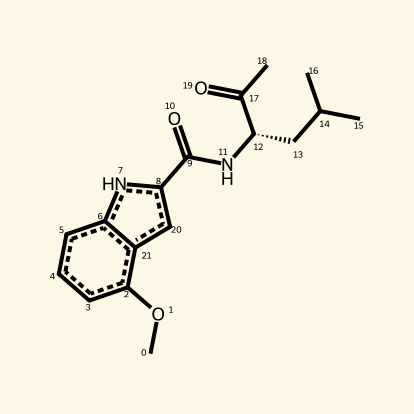 COc1cccc2[nH]c(C(=O)N[C@@H](CC(C)C)C(C)=O)cc12